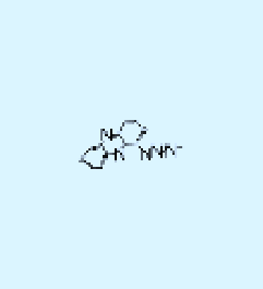 [N-]=[N+]=Nc1cccc2nc3ccccc3nc12